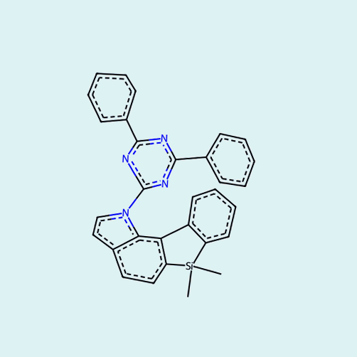 C[Si]1(C)c2ccccc2-c2c1ccc1ccn(-c3nc(-c4ccccc4)nc(-c4ccccc4)n3)c21